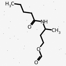 CCCCC(=O)NC(C)CCOC=O